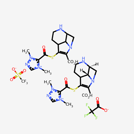 Cn1nc[n+](C)c1C(=O)SC1=C(C(=O)O)N2CC3NCCC1C32.Cn1nc[n+](C)c1C(=O)SC1=C(C(=O)O)N2C[C@@H]3NCCC1[C@H]32.O=C([O-])C(F)(F)F.O=S(=O)([O-])C(F)(F)F